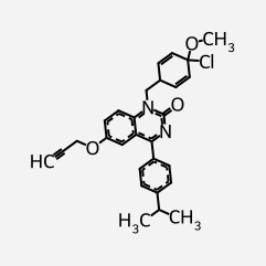 C#CCOc1ccc2c(c1)c(-c1ccc(C(C)C)cc1)nc(=O)n2CC1C=CC(Cl)(OC)C=C1